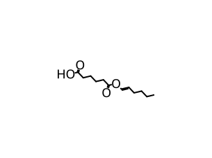 CCCCC=COC(=O)CCCCC(=O)O